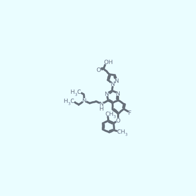 CCN(CC)CCNc1nc(-n2cc(C(=O)O)cn2)nc2cc(F)c(Oc3c(C)cccc3C)cc12